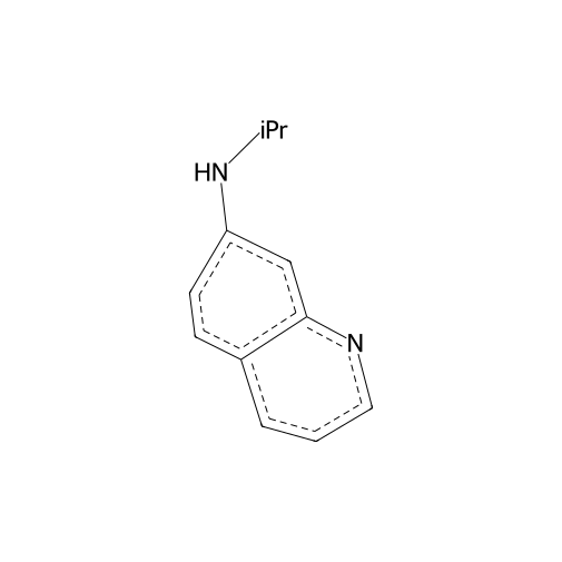 CC(C)Nc1ccc2cccnc2c1